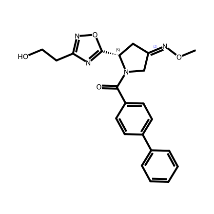 CO/N=C1/C[C@@H](c2nc(CCO)no2)N(C(=O)c2ccc(-c3ccccc3)cc2)C1